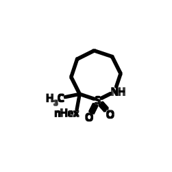 CCCCCCC1(C)CCCCCNS1(=O)=O